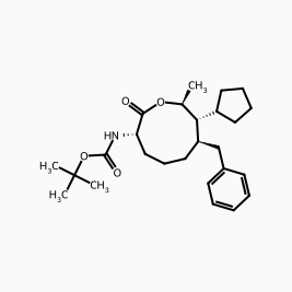 C[C@@H]1OC(=O)[C@@H](NC(=O)OC(C)(C)C)CCC[C@H](Cc2ccccc2)[C@H]1C1CCCC1